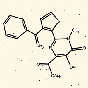 C=C(c1ccccc1)c1ccsc1-c1nc(C(=O)OC)c(O)c(=O)n1C